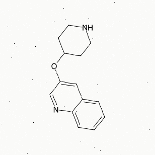 c1ccc2ncc(OC3CCNCC3)cc2c1